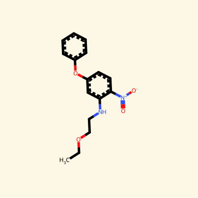 CCOCCNc1cc(Oc2ccccc2)ccc1[N+](=O)[O-]